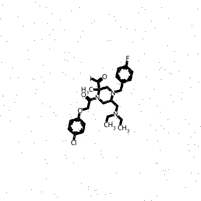 CCN(CC)CC1CN(C(=O)COc2ccc(Cl)cc2)C(C)(C(=O)I)CN1Cc1ccc(F)cc1